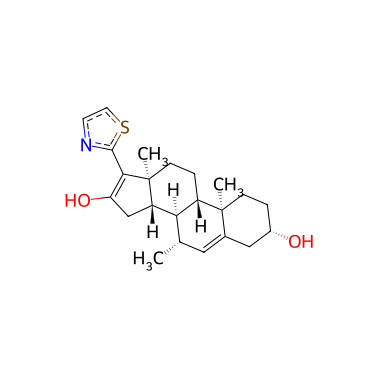 C[C@H]1C=C2C[C@@H](O)CC[C@]2(C)[C@H]2CC[C@]3(C)C(c4nccs4)=C(O)C[C@H]3[C@H]12